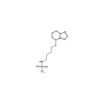 O=S(=O)(NCCCCSc1cccc2nccn12)C(F)(F)F